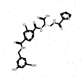 O=C(NCc1cc(O)cc(O)c1)c1ccc(C(=O)N[C@@H](CNC(=O)c2cccs2)C(=O)O)c(Cl)c1